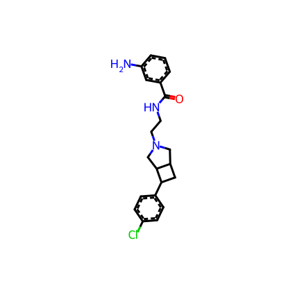 Nc1cccc(C(=O)NCCN2CC3CC(c4ccc(Cl)cc4)C3C2)c1